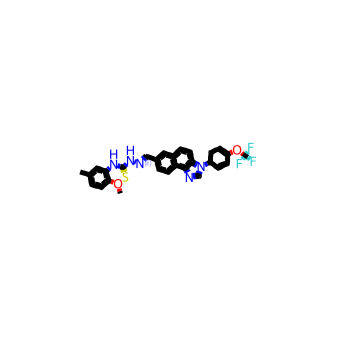 COc1ccc(C)cc1NC(=S)N/N=C/c1ccc2c(ccc3c2ncn3C2C=CC(OC(F)(F)F)=CC2)c1